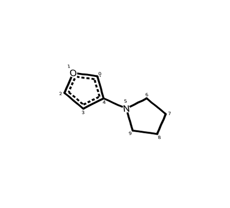 [c]1occc1N1CCCC1